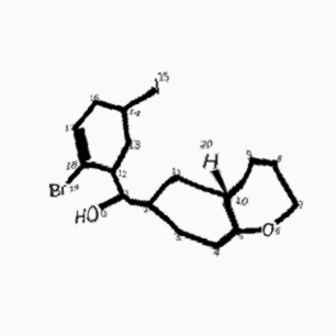 OC(C1CCC2OCCC[C@H]2C1)C1CC(I)CC=C1Br